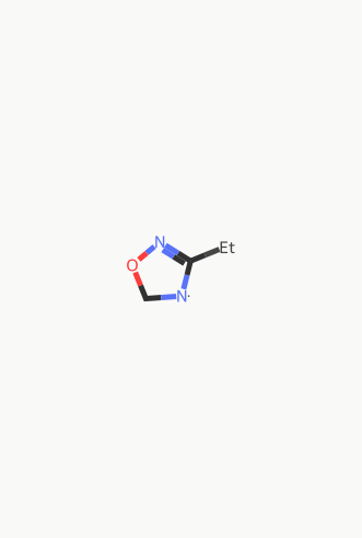 CCC1=NOC[N]1